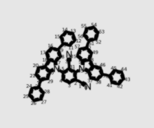 N#Cc1ccc(-n2c3cc(-c4ccccc4)ccc3c3ccc(-c4ccccc4)cc32)c(C#N)c1-n1c2ccc(-c3ccccc3)cc2c2cc(-c3ccccc3)ccc21